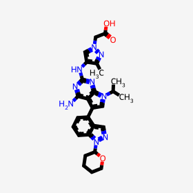 Cc1nn(CC(=O)O)cc1Nc1nc(N)c2c(-c3cccc4c3cnn4C3CCCCO3)cn(C(C)C)c2n1